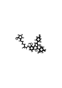 COc1c(CCC(C)CCCCC2CCCC2=O)cccc1C1CC(c2ccc(F)cc2)=CC1C(=O)c1c(F)cc(F)cc1F